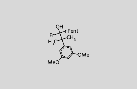 CCCCCC(O)(C(C)C)C(C)(C)c1cc(OC)cc(OC)c1